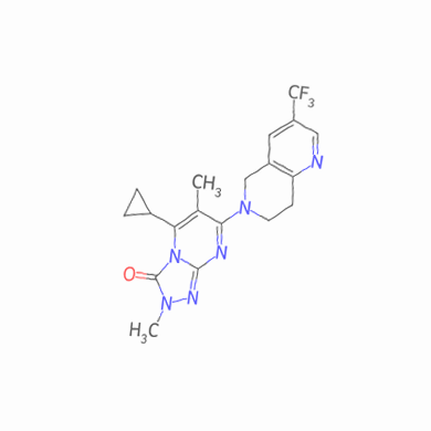 Cc1c(N2CCc3ncc(C(F)(F)F)cc3C2)nc2nn(C)c(=O)n2c1C1CC1